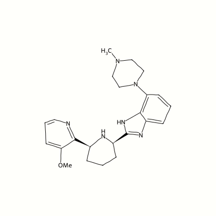 COc1cccnc1[C@@H]1CCC[C@H](c2nc3cccc(N4CCN(C)CC4)c3[nH]2)N1